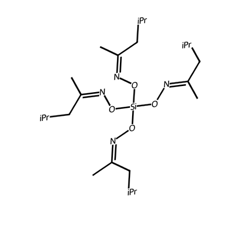 CC(CC(C)C)=NO[Si](ON=C(C)CC(C)C)(ON=C(C)CC(C)C)ON=C(C)CC(C)C